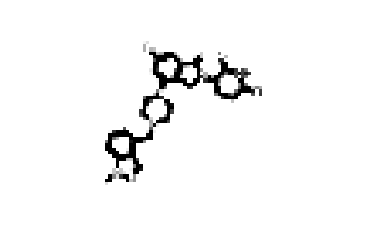 Cn1ncc2c(CN3CCN(c4cc(F)cc5c4CN(C4CCC(=O)NC4=O)C5=O)CC3)cccc21